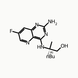 CCCC[C@](C)(CO)Nc1nc(N)nc2cc(F)cnc12